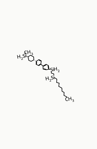 CCCCCCCCCC[SiH2]CC[SiH2]c1ccc(-c2ccc([C@H]3CC[C@H]([SiH2]C)CC3)cc2)cc1